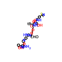 Cc1ncsc1-c1ccc([C@H](C)NC(=O)[C@@H]2C[C@@H](O)CN2C(=O)[C@@H](NC(=O)CCOCCOCC(C=O)N2CCNC(c3ccc(N4CCCC(Oc5cc(-c6ccccc6O)nnc5N)C4)cc3)C2)C(C)(C)C)cc1